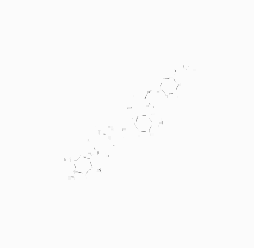 COc1ccc(CN2C(=O)CCc3c(OCC4(C(=O)O)CCN(c5cc(Cl)c(F)cc5Cl)CC4)ccc(F)c32)cc1